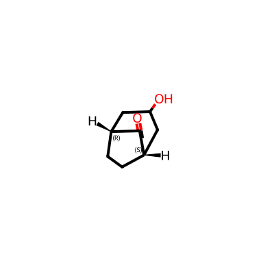 O=C1[C@@H]2CC[C@H]1CC(O)C2